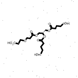 CCCCCCCCCCCCCC(=O)OC[C@@H](COC(=O)CCOCCC(=O)O)OC(=O)CCCCCCCCCCCCC